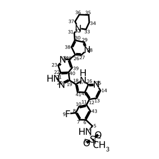 CS(=O)(=O)NCc1cc(F)cc(-c2ccnc3[nH]c(-c4n[nH]c5cnc(-c6cncc(CN7CCCCC7)c6)cc45)cc23)c1